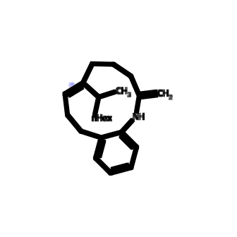 C=C1CCC/C(C(C)CCCCCC)=C/CCc2ccccc2N1